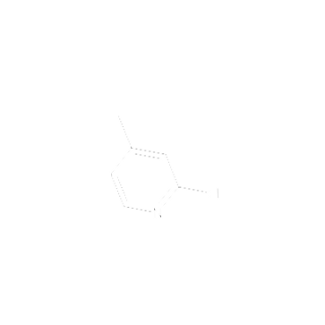 Cc1[c]c(Cl)ncc1